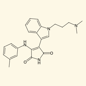 Cc1cccc(NC2=C(c3cn(CCCN(C)C)c4ccccc34)C(=O)NC2=O)c1